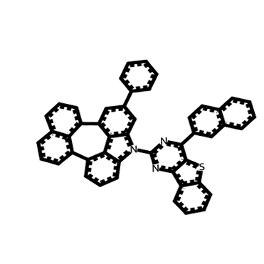 c1ccc(-c2cc3c4c5c(cccc5n(-c5nc(-c6ccc7ccccc7c6)c6sc7ccccc7c6n5)c4c2)-c2cccc4cccc-3c24)cc1